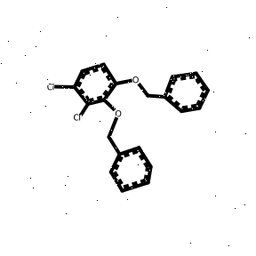 Clc1ccc(OCc2ccccc2)c(OCc2ccccc2)c1Cl